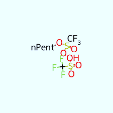 CCCCCOS(=O)(=O)C(F)(F)F.O=S(=O)(O)C(F)(F)F